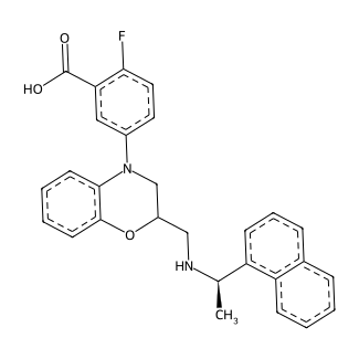 C[C@@H](NCC1CN(c2ccc(F)c(C(=O)O)c2)c2ccccc2O1)c1cccc2ccccc12